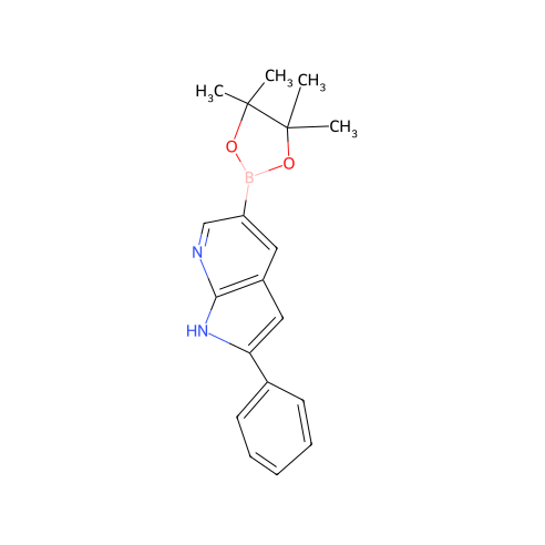 CC1(C)OB(c2cnc3[nH]c(-c4ccccc4)cc3c2)OC1(C)C